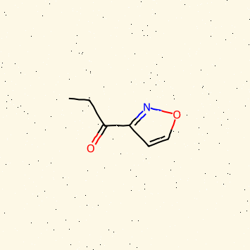 C[CH]C(=O)c1ccon1